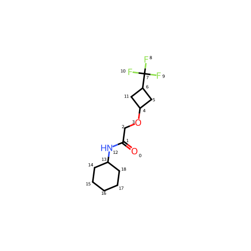 O=C(COC1CC(C(F)(F)F)C1)NC1CCCCC1